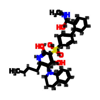 CCCCc1nc(O)c(S(=O)(=O)c2ccc(-c3ccccc3C(O)NC)cc2)c(O)c1N1CCCc2ccccc21